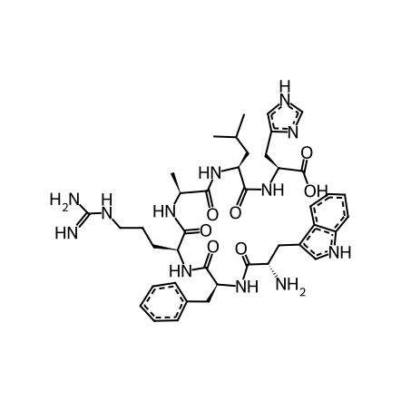 CC(C)C[C@H](NC(=O)[C@H](C)NC(=O)[C@H](CCCNC(=N)N)NC(=O)[C@H](Cc1ccccc1)NC(=O)[C@@H](N)Cc1c[nH]c2ccccc12)C(=O)N[C@@H](Cc1c[nH]cn1)C(=O)O